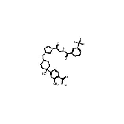 Cc1nc(C2(O)CCC(N[C@H]3CCN(C(=O)CNC(=O)c4cccc(C(F)(F)F)c4)C3)CC2)ccc1C(N)=O